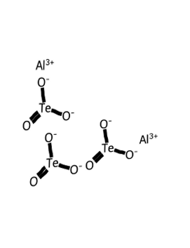 O=[Te]([O-])[O-].O=[Te]([O-])[O-].O=[Te]([O-])[O-].[Al+3].[Al+3]